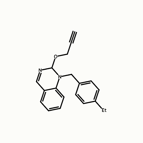 C#CCOC1N=Cc2ccccc2N1Cc1ccc(CC)cc1